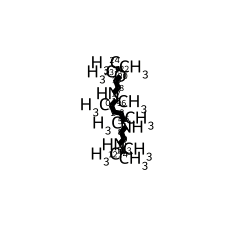 CC(CCC(C)(C)NCCNC(C)(C)C)C(C)NCCOC(C)(C)C